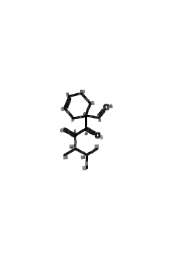 C=C(C(=O)C1(C=O)CC=CCC1)C(C)C(C)C